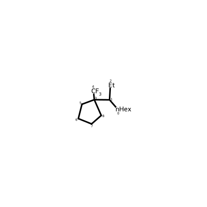 CCCCCCC(CC)C1(C(F)(F)F)CCCC1